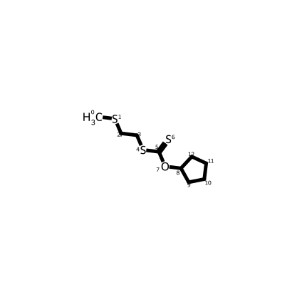 CS[CH]CSC(=S)OC1CCCC1